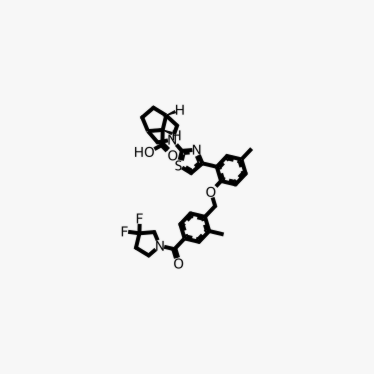 Cc1ccc(OCc2ccc(C(=O)N3CCC(F)(F)C3)cc2C)c(-c2csc(N3CC4CC[C@H](C3)[C@@H]4C(=O)O)n2)c1